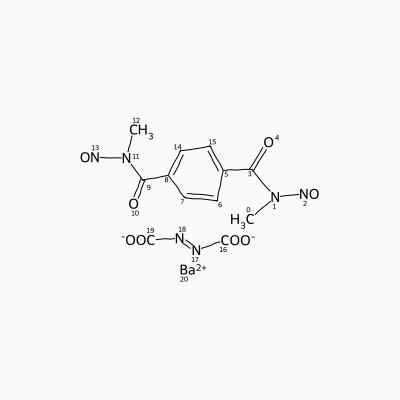 CN(N=O)C(=O)c1ccc(C(=O)N(C)N=O)cc1.O=C([O-])/N=N/C(=O)[O-].[Ba+2]